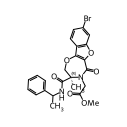 COC(=O)CN1C(=O)c2oc3cc(Br)ccc3c2OC[C@]1(C)C(=O)NC(C)c1ccccc1